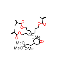 C=C(C)C(=O)OCCC[Si](CCCOC(=O)C(=C)C)(CCCOC(=O)C(=C)C)OC.CO[Si](CCC1CCC2OC2C1)(OC)OC